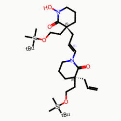 C=CC[C@]1(CCO[Si](C)(C)C(C)(C)C)CCCN(/C=C/C[C@]2(CCO[Si](C)(C)C(C)(C)C)CCCN(O)C2=O)C1=O